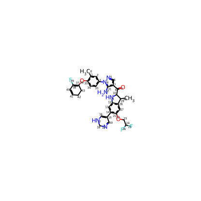 Cc1cc(-n2ncc(C(=O)C3Nc4cc(C5=CNCN=C5)c(OCC(F)F)cc4C3C)c2N)ccc1OC1=C(F)C=CCC1